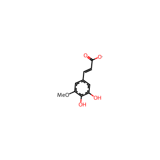 COc1cc(C=CC([O])=O)cc(O)c1O